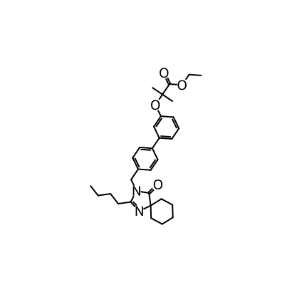 CCCCC1=NC2(CCCCC2)C(=O)N1Cc1ccc(-c2cccc(OC(C)(C)C(=O)OCC)c2)cc1